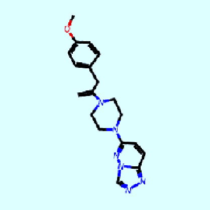 C=C(Cc1ccc(OC)cc1)N1CCN(c2ccc3nncn3n2)CC1